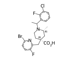 CC(c1cccc(Cl)c1F)N1CC[C@@](Cc2nc(Br)ccc2F)(C(=O)O)C[C@H]1C